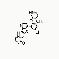 Cc1cc(Cl)cc(-c2ccnc3cc(CC4NCCNC4=O)sc23)c1O[C@H]1CCCNC1